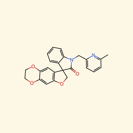 Cc1cccc(CN2C(=O)C3(COc4cc5c(cc43)OCCO5)c3ccccc32)n1